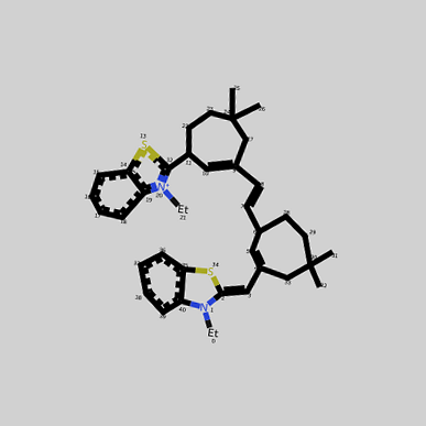 CCN1/C(=C/C2=CC(C=CC3=CC(c4sc5ccccc5[n+]4CC)CCC(C)(C)C3)CCC(C)(C)C2)Sc2ccccc21